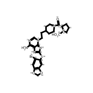 Nc1ncn(CCC2CCN(C(=O)[C@@H]3CCCN3C(=O)O)CC2)c2nc(Sc3cc4c(cc3Br)OCO4)nc1-2